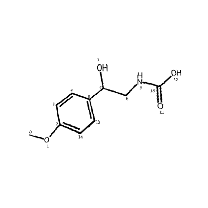 COc1ccc(C(O)CNC(=O)O)cc1